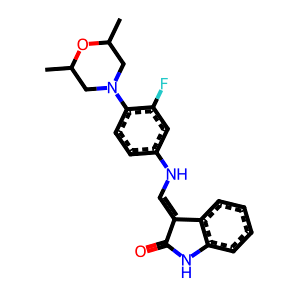 CC1CN(c2ccc(N/C=C3/C(=O)Nc4ccccc43)cc2F)CC(C)O1